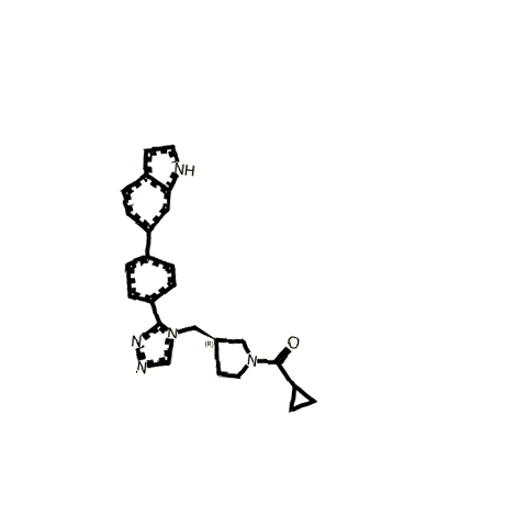 O=C(C1CC1)N1CC[C@@H](Cn2cnnc2-c2ccc(-c3ccc4cc[nH]c4c3)cc2)C1